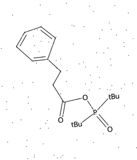 CC(C)(C)P(=O)(OC(=O)CCc1ccccc1)C(C)(C)C